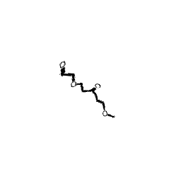 COCCC(=O)CCOC[C]=O